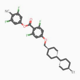 CC[C@H]1CC[C@H]([C@H]2CC[C@H](COc3cc(F)c(C(=O)Oc4cc(F)c(C#N)c(F)c4)c(F)c3)CC2)CC1